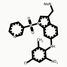 CNCc1cn(S(=O)(=O)c2cccnc2)c2cc(Nc3c(C)cc(Cl)cc3[N+](=O)[O-])ccc12